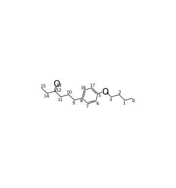 CCCCOc1ccc(CCCC(=O)CC)cc1